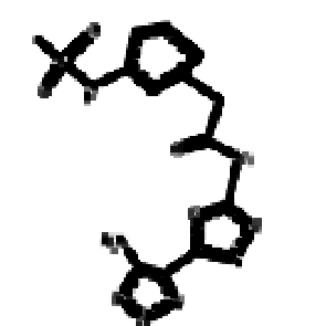 CS(=O)(=O)Nc1cccc(CC(=O)Nc2nnc(-c3nonc3N)o2)c1